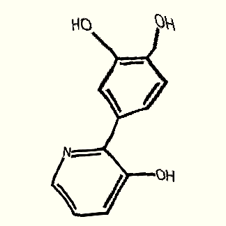 Oc1ccc(-c2ncccc2O)cc1O